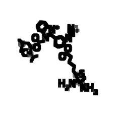 CC(C)[C@@H]1CC[C@@H](C)C[C@H]1OC(=O)Cn1c(-c2ccc(OC(=O)CCCC[C@H]3SC[C@@H](N)[C@H]3N)c(N=[N+]=[N-])c2)[n+](C)c2ccccc21